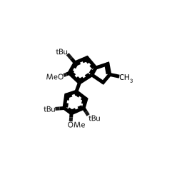 COc1c(C(C)(C)C)cc(-c2c3c(cc(C(C)(C)C)c2OC)C=C(C)C3)cc1C(C)(C)C